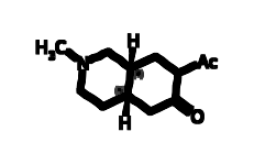 CC(=O)C1C[C@H]2CN(C)CC[C@H]2CC1=O